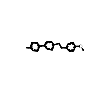 COc1ccc(CCc2ccc(-c3ccc(C)cc3)cc2)cc1